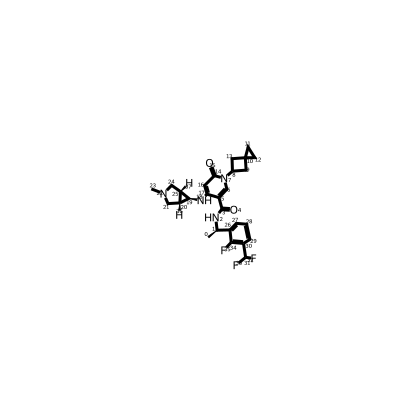 C[C@@H](NC(=O)c1cn(C2CC3(CC3)C2)c(=O)cc1N[C@H]1[C@@H]2CN(C)C[C@@H]21)c1cccc(C(F)F)c1F